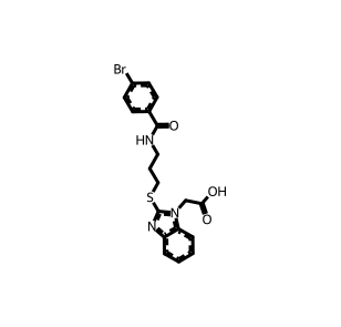 O=C(O)Cn1c(SCCCNC(=O)c2ccc(Br)cc2)nc2ccccc21